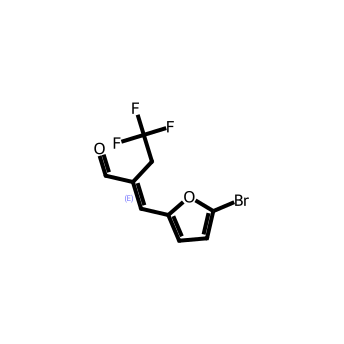 O=C/C(=C/c1ccc(Br)o1)CC(F)(F)F